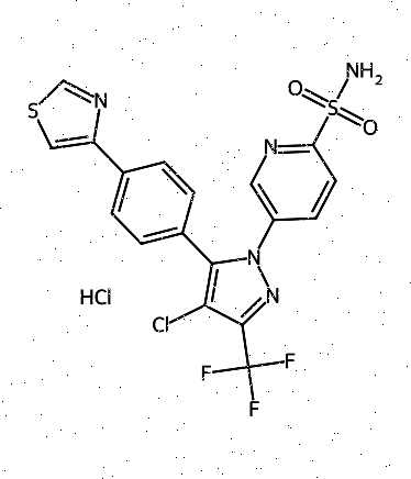 Cl.NS(=O)(=O)c1ccc(-n2nc(C(F)(F)F)c(Cl)c2-c2ccc(-c3cscn3)cc2)cn1